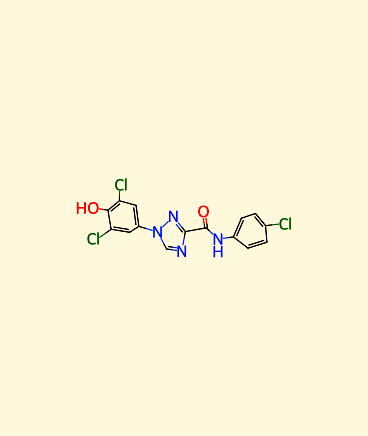 O=C(Nc1ccc(Cl)cc1)c1ncn(-c2cc(Cl)c(O)c(Cl)c2)n1